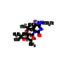 CCOC(=O)Nc1nc(=O)n([C@@H]2O[C@H](C)[C@@H](O[Si](C)(C)C(C)(C)C)[C@H]2O[Si](C)(C)C(C)(C)C)cc1I